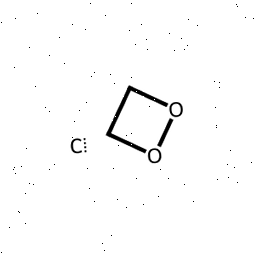 C1COO1.[C]